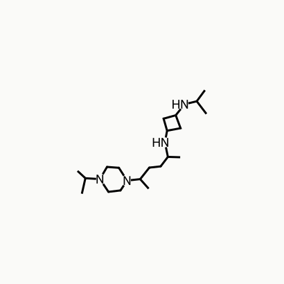 CC(C)NC1CC(NC(C)CCC(C)N2CCN(C(C)C)CC2)C1